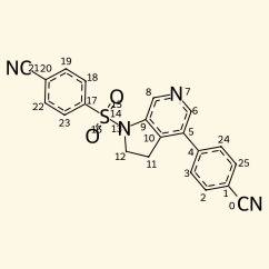 N#Cc1ccc(-c2cncc3c2CCN3S(=O)(=O)c2ccc(C#N)cc2)cc1